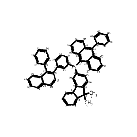 CC1(C)c2ccccc2-c2cc(N(c3cccc(-c4ccc5ccccc5c4-c4ccccc4)c3)c3c4ccccc4c(-c4ccccc4)c4ccccc34)ccc21